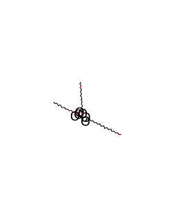 CCCCCCCCCCCCCCCCCCCC(=O)OC[C@@H](COC(=O)CCCCCCCCCCCCC)OC(=O)CCCCCCCCCCCCCCC